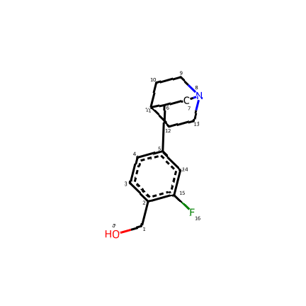 OCc1ccc(C2CN3CCC2CC3)cc1F